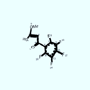 CO/C(O)=C/C(=O)c1c(F)c(F)c(F)c(F)c1F